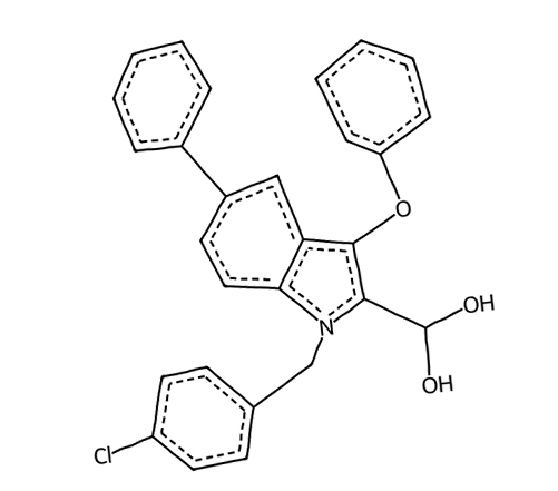 OC(O)c1c(Oc2ccccc2)c2cc(-c3ccccc3)ccc2n1Cc1ccc(Cl)cc1